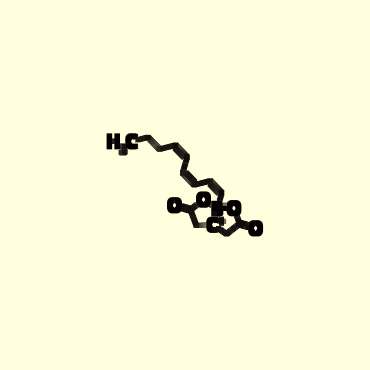 CCC\C=C/C=C\C=C/[B-]12OC(=O)C[C+]1CC(=O)O2